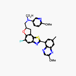 COc1ccc(N(CC2Cc3c(c(F)cc4nc(-c5cc(C)cc6nc(OC)cnc56)sc34)O2)C(=O)O)cn1